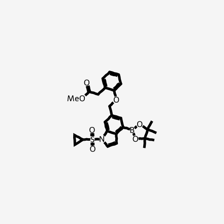 COC(=O)Cc1ccccc1OCc1cc(B2OC(C)(C)C(C)(C)O2)c2ccn(S(=O)(=O)C3CC3)c2c1